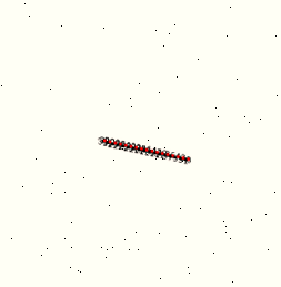 CCCCCCC=CCCCCCCCC[CH]C=CCCCCCCCCCCCCCCC